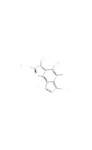 CC1=[C-]c2c3c(c(C)c(C)c2=C1C)=C(C)C=C3.[Li+]